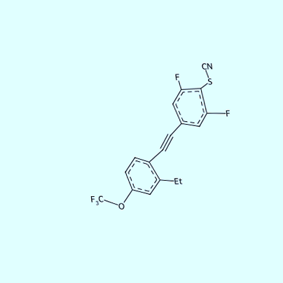 CCc1cc(OC(F)(F)F)ccc1C#Cc1cc(F)c(SC#N)c(F)c1